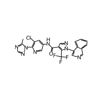 Cc1ncnn1-c1ncc(NC(=O)c2cnn(-c3cncc4ccccc34)c2C(F)(F)F)cc1Cl